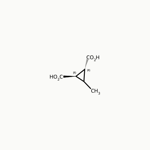 CC1[C@@H](C(=O)O)[C@@H]1C(=O)O